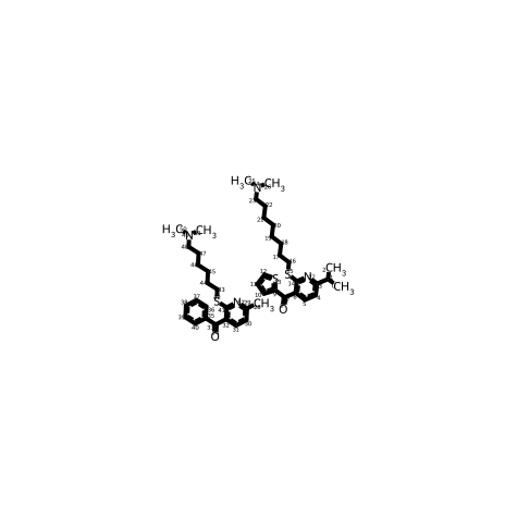 CC(C)c1ccc(C(=O)c2cccs2)c(SCCCCCCCCN(C)C)n1.Cc1ccc(C(=O)c2ccccc2)c(SCCCCCCN(C)C)n1